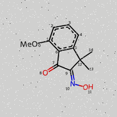 COc1cccc2c1C(=O)C(=NO)C2(C)C